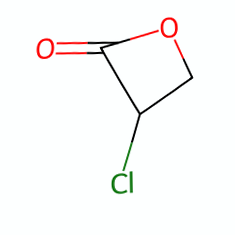 O=C1OCC1Cl